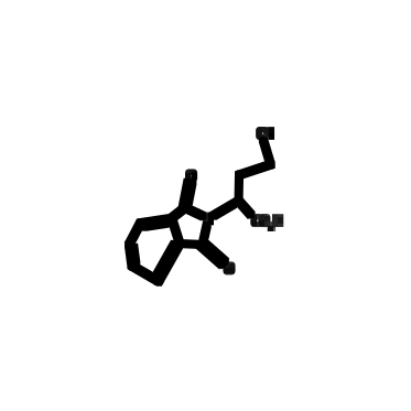 N#CCCC(C(=O)O)N1C(=O)c2ccccc2C1=O